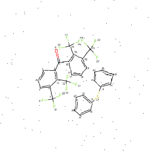 O=C(c1cccc(C(F)(F)F)c1C(F)(F)F)c1cccc(C(F)(F)F)c1C(F)(F)F.c1ccc(Sc2ccccc2)cc1